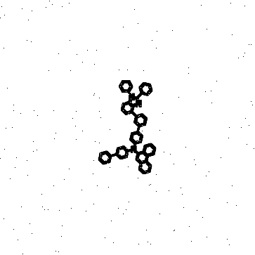 c1ccc(-c2ccc(N(c3ccc(-c4cccc(-c5cccc6c5nc(-c5ccccc5)n6-c5ccccc5)c4)cc3)c3cc4ccccc4c4ccccc34)cc2)cc1